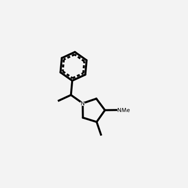 CNC1CN(C(C)c2ccccc2)CC1C